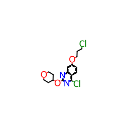 ClCCCOc1ccc2c(Cl)nc(OC3CCOCC3)nc2c1